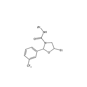 CCC1CN(C(=O)NC(C)C)C(c2cccc(C(F)(F)F)c2)O1